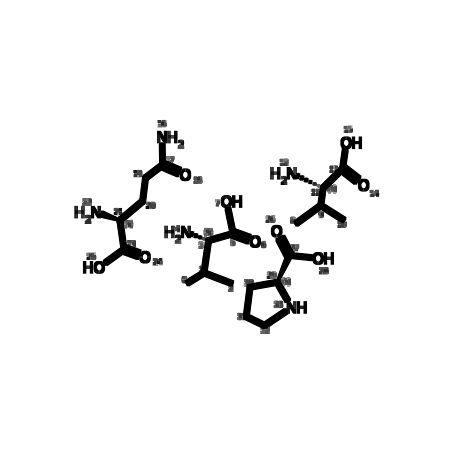 CC(C)[C@H](N)C(=O)O.CC(C)[C@H](N)C(=O)O.NC(=O)CC[C@H](N)C(=O)O.O=C(O)[C@@H]1CCCN1